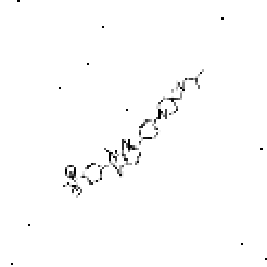 CC(C)CN1CC2(CCN(c3ccc(-c4ccc5nc(-c6ccc(S(C)(=O)=O)cc6)n(C)c5n4)cc3)CC2)C1